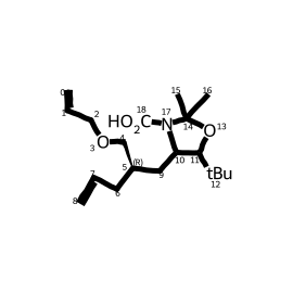 C=CCOC[C@H](CC=C)CC1C(C(C)(C)C)OC(C)(C)N1C(=O)O